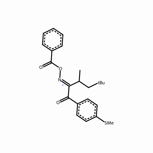 CSc1ccc(C(=O)/C(=N/OC(=O)c2ccccc2)C(C)CC(C)(C)C)cc1